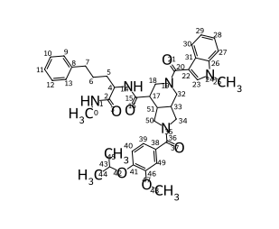 CNC(=O)C(CCCc1ccccc1)NC(=O)C1CN(C(=O)c2cn(C)c3ccccc23)CC2CN(C(=O)c3ccc(OC(C)C)c(OC)c3)CC21